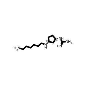 N=C(N)N[C@H]1CC[C@H](NCCCCCCN)C1